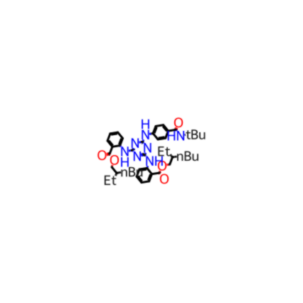 CCCCC(CC)COC(=O)c1ccccc1Nc1nc(Nc2ccc(C(=O)NC(C)(C)C)cc2)nc(Nc2ccccc2C(=O)OCC(CC)CCCC)n1